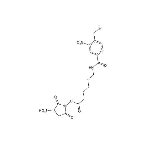 O=C(CCCCCNC(=O)c1ccc(CBr)c([N+](=O)[O-])c1)ON1C(=O)CC(S(=O)(=O)O)C1=O